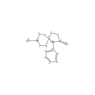 O=C1CCC2(CCN(Cl)CC2)N1c1ccccc1